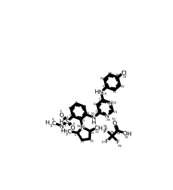 CNS(=O)(=O)c1cccc(Nc2cc(Nc3ccc(Cl)cc3)ncn2)c1N1C(C)CCC1C.O=C(O)C(F)(F)F